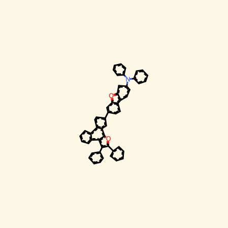 c1ccc(-c2oc3c4cc(-c5ccc6c(c5)oc5cc(N(c7ccccc7)c7ccccc7)ccc56)ccc4c4ccccc4c3c2-c2ccccc2)cc1